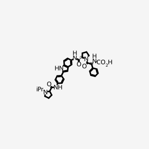 CC(C)N1CCCC1C(=O)Nc1ccc(-c2cc3cc(NC(=O)[C@@H]4CCCN4C(=O)[C@H](NC(=O)O)c4ccccc4)ccc3[nH]2)cc1